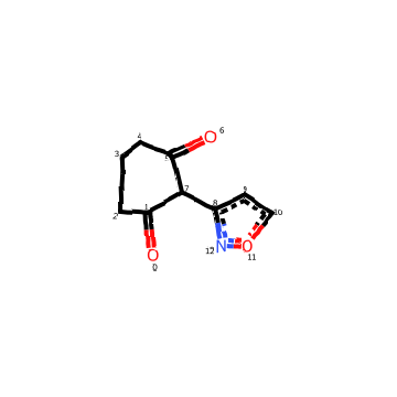 O=C1CCCC(=O)C1c1[c]con1